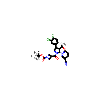 CC(Oc1ccc(C#N)cn1)C1CN(C(=O)C2CN(C(=O)OC(C)(C)C)C2)CC1c1ccc(Cl)c(Cl)c1